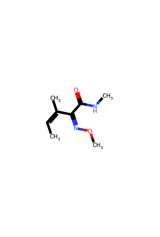 CC=C(C)C(=NOC)C(=O)NC